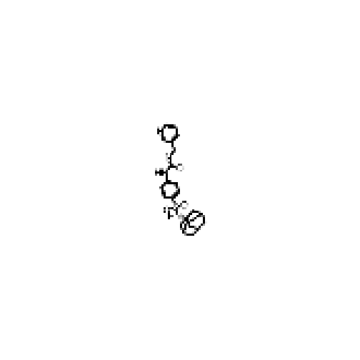 O=C(NCc1cccnc1)Nc1ccc(S(=O)(=O)NC23CC4CC(CC(C4)C2)C3)cc1